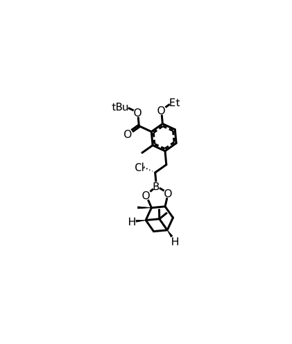 CCOc1ccc(C[C@@H](Cl)B2OC3C[C@@H]4C[C@@H](C4(C)C)[C@]3(C)O2)c(C)c1C(=O)OC(C)(C)C